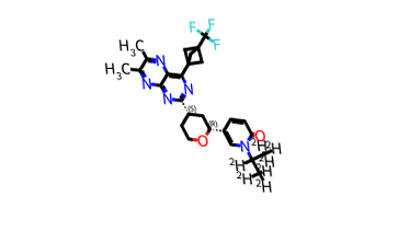 [2H]C([2H])([2H])C([2H])(n1cc([C@H]2C[C@@H](c3nc(C45CC(C(F)(F)F)(C4)C5)c4nc(C)c(C)nc4n3)CCO2)ccc1=O)C([2H])([2H])[2H]